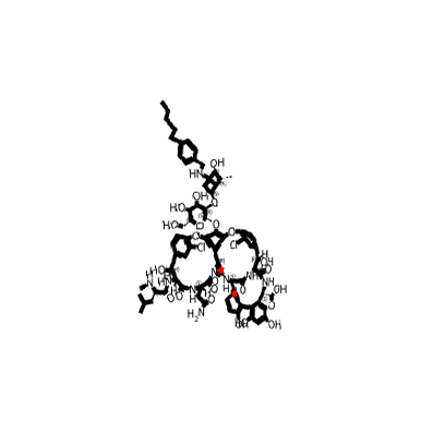 CCCCCc1ccc(CNC23C[C@H](O[C@@H]4C(O)C(O)[C@@H](CO)O[C@H]4Oc4c5cc6cc4Oc4ccc(cc4Cl)[C@@H](O)[C@@H](NC(=O)[C@@H](CC(C)C)NC)C(=O)N[C@@H](CC(N)=O)C(=O)N[C@H]6C(=O)N[C@@H]4C(=O)N[C@H](C(=O)N[C@H](C(=O)O)c6cc(O)cc(O)c6-c6cc4ccc6O)[C@H](O)c4ccc(c(Cl)c4)O5)C2[C@@H](C)[C@H]3O)cc1